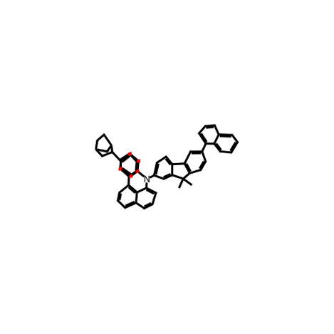 CC1(C)c2ccc(-c3cccc4ccccc34)cc2-c2ccc(N(c3ccc(C4CC5CCC4C5)cc3)c3cccc4cccc(C5CCCCC5)c34)cc21